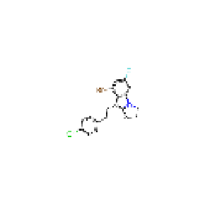 Fc1cc(Br)c2c(CCc3ccc(Cl)cc3)c3n(c2c1)CC[CH]3